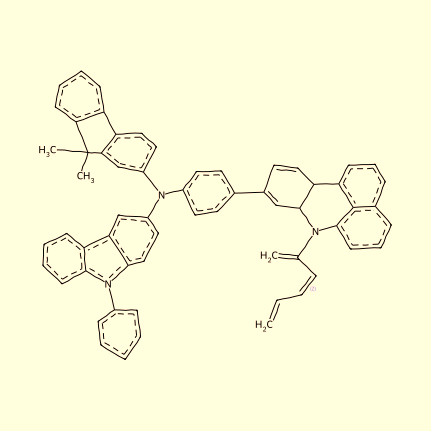 C=C/C=C\C(=C)N1c2cccc3cccc(c23)C2C=CC(c3ccc(N(c4ccc5c(c4)C(C)(C)c4ccccc4-5)c4ccc5c(c4)c4ccccc4n5-c4ccccc4)cc3)=CC21